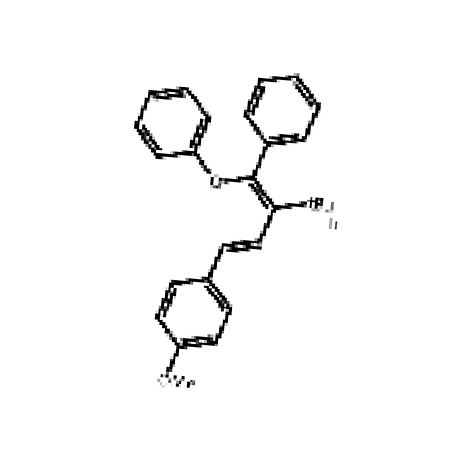 COc1ccc(C=CC(=C(Oc2ccccc2)c2ccccc2)C(C)(C)C)cc1.[Ti]